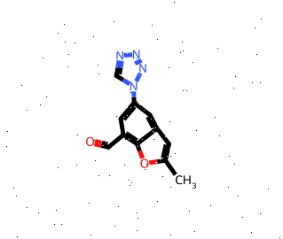 Cc1cc2cc(-n3cnnn3)cc(C=O)c2o1